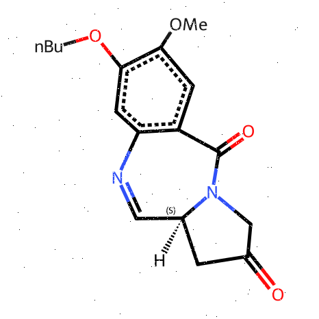 CCCCOc1cc2c(cc1OC)C(=O)N1CC(=O)C[C@H]1C=N2